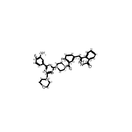 Nc1cc(-c2nc(N3CCOCC3)nc(N3CCN(C(=O)c4cc(Cc5n[nH]c(=O)c6ccccc56)ccc4F)CC3)n2)ccc1F